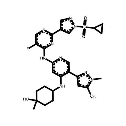 Cn1nc(-c2cnc(Nc3nc(-c4cnn(S(=O)(=O)C5CC5)c4)ncc3F)cc2NC2CCC(C)(O)CC2)cc1C(F)(F)F